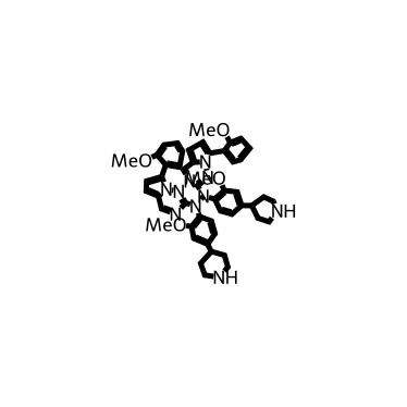 COc1ccccc1-c1ccc2cnc(N(c3ccc(C4CCNCC4)cc3OC)N(c3ncc4ccc(-c5ccccc5OC)n4n3)c3ccc(C4CCNCC4)cc3OC)nn12